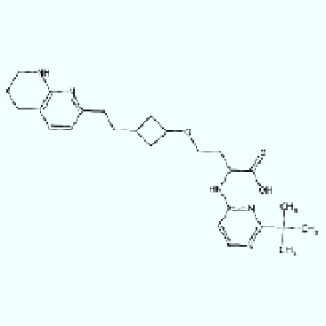 CC(C)(C)c1nccc(NC(CCOC2CC(CCc3ccc4c(n3)NCCC4)C2)C(=O)O)n1